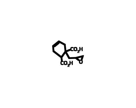 O=C(O)C1CC=CCC1(CC1CO1)C(=O)O